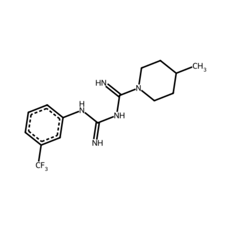 CC1CCN(C(=N)NC(=N)Nc2cccc(C(F)(F)F)c2)CC1